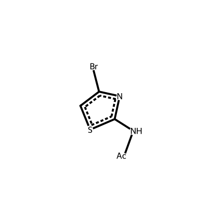 [CH2]C(=O)Nc1nc(Br)cs1